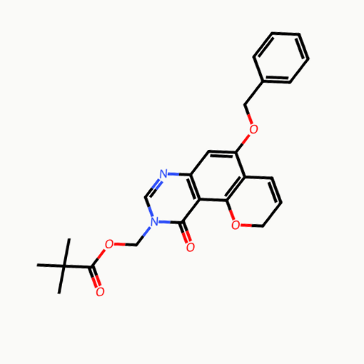 CC(C)(C)C(=O)OCn1cnc2cc(OCc3ccccc3)c3c(c2c1=O)OCC=C3